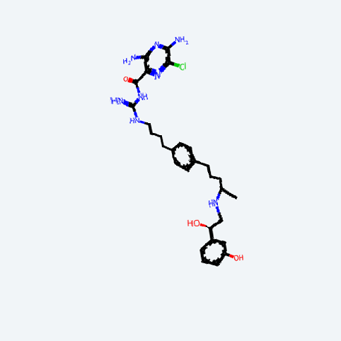 CC(CCCc1ccc(CCCCNC(=N)NC(=O)c2nc(Cl)c(N)nc2N)cc1)NC[C@H](O)c1cccc(O)c1